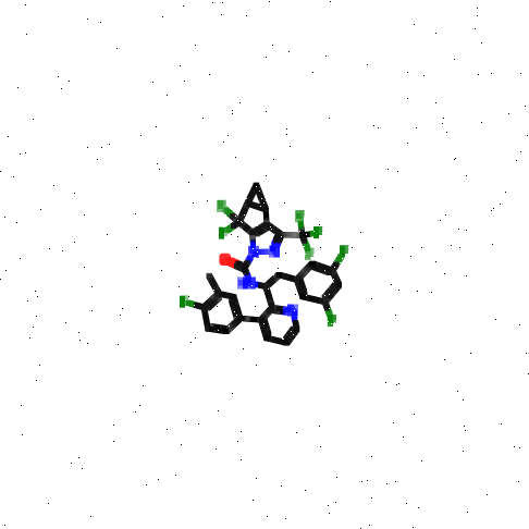 Cc1cc(-c2cccnc2C(Cc2cc(F)cc(F)c2)NC(=O)n2nc(C(F)(F)F)c3c2C(F)(F)C2CC32)ccc1F